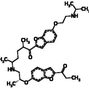 CCC(=O)c1cc2ccc(O[C@H](C)CNC(C)CCC(C)C(=O)c3cc4ccc(OCCNC(C)C)cc4o3)cc2o1